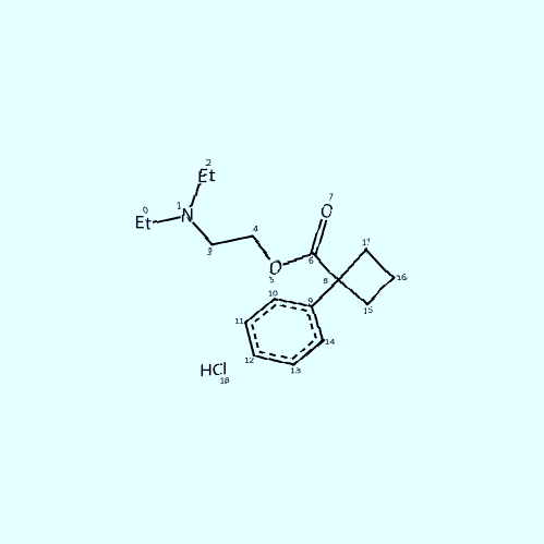 CCN(CC)CCOC(=O)C1(c2ccccc2)CCC1.Cl